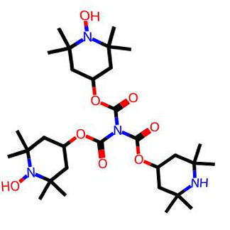 CC1(C)CC(OC(=O)N(C(=O)OC2CC(C)(C)N(O)C(C)(C)C2)C(=O)OC2CC(C)(C)N(O)C(C)(C)C2)CC(C)(C)N1